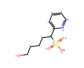 [O]CCCCC(c1ccccn1)S(=O)(=O)O